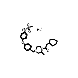 CC1CN(Cc2ccc(Oc3ccc(NS(C)(=O)=O)cc3)cc2)CCN1C(=O)CC1CCCCC1.Cl